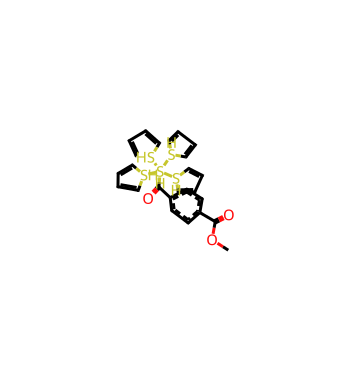 COC(=O)c1ccc(C(=O)[SH]([SH]2C=CC=C2)([SH]2C=CC=C2)([SH]2C=CC=C2)[SH]2C=CC=C2)cc1